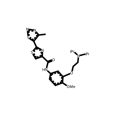 COc1ccc(NC(=O)c2csc(-c3snnc3C)n2)cc1OCCN(C(C)C)C(C)C